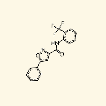 O=C(Nc1ccccc1C(F)(F)F)c1cc(-c2ccccc2)on1